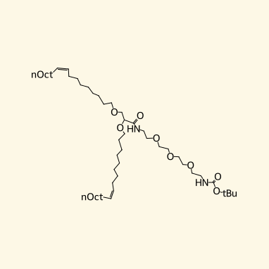 CCCCCCCC/C=C\CCCCCCCCOCC(OCCCCCCCC/C=C\CCCCCCCC)C(=O)NCCOCCOCCOCCNC(=O)OC(C)(C)C